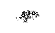 NCc1ccc(Nc2ncc(-c3ccc(OC(F)F)cc3)cn2)cc1N1CCCCC1C(N)=O